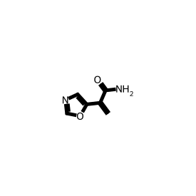 C=C(C(N)=O)c1cnco1